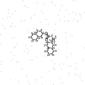 C[N+](C)(C)CN(Oc1ccc2ccccc2c1)Oc1ccc2ccccc2c1